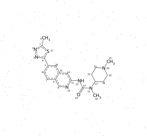 Cc1nnc(-c2ccc3cnc(NC(=O)N(C)C4CCN(C)CC4)cc3c2)s1